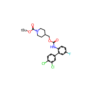 CC(C)(C)OC(=O)N1CCC(COC(=O)Nc2ccc(F)cc2-c2ccc(Cl)c(Cl)c2)CC1